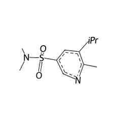 Cc1ncc(S(=O)(=O)N(C)C)cc1C(C)C